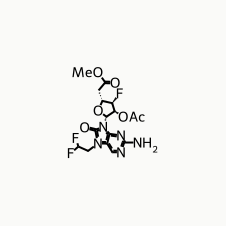 COC(=O)C[C@H]1O[C@@H](n2c(=O)n(CC(F)F)c3cnc(N)nc32)[C@H](OC(C)=O)[C@@H]1F